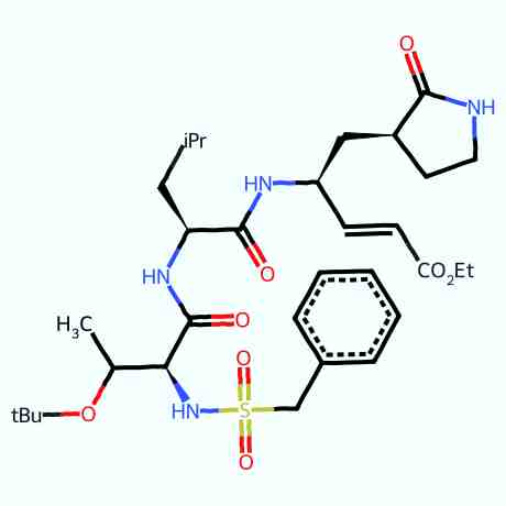 CCOC(=O)/C=C/[C@H](C[C@@H]1CCNC1=O)NC(=O)[C@H](CC(C)C)NC(=O)[C@@H](NS(=O)(=O)Cc1ccccc1)C(C)OC(C)(C)C